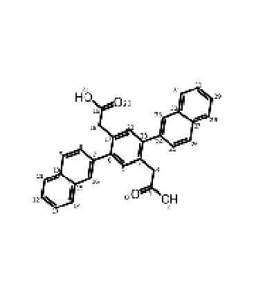 O=C(O)Cc1cc(-c2ccc3ccccc3c2)c(CC(=O)O)cc1-c1ccc2ccccc2c1